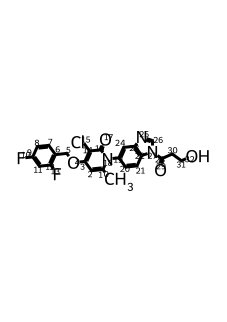 Cc1cc(OCc2ccc(F)cc2F)c(Cl)c(=O)n1-c1ccc2c(c1)ncn2C(=O)CCO